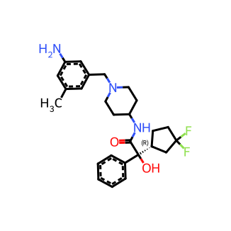 Cc1cc(N)cc(CN2CCC(NC(=O)C(O)(c3ccccc3)[C@@H]3CCC(F)(F)C3)CC2)c1